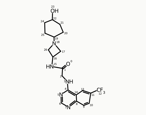 O=C(CNc1ncnc2ccc(C(F)(F)F)cc12)NC1CN(C2CCC(O)CC2)C1